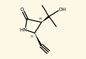 C#C[C@H]1NC(=O)[C@H]1C(C)(C)O